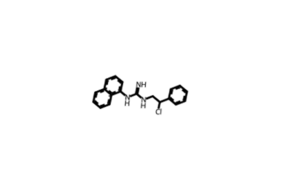 N=C(NCC(Cl)c1ccccc1)Nc1cccc2ccccc12